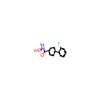 O=C(NO)c1ccc(-c2ccccc2F)cc1